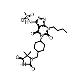 CCCCn1c(=O)n(C2CCC(CN3C(=O)NC(=O)C3(C)C)CC2)c(=O)c2c(NS(C)(=O)=O)snc21